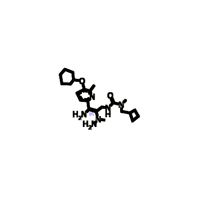 Cc1nc(/C(N)=C(\CNC(=O)N(C)CC2CCC2)N(C)N)ccc1OC1CCCCC1